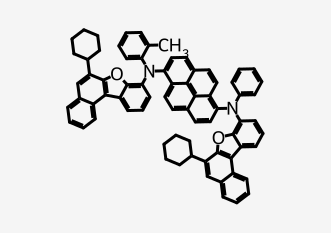 Cc1ccccc1N(c1ccc2ccc3c(N(c4ccccc4)c4cccc5c4oc4c(C6CCCCC6)cc6ccccc6c45)ccc4ccc1c2c43)c1cccc2c1oc1c(C3CCCCC3)cc3ccccc3c12